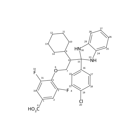 O=C(O)c1cc(F)c(OCC(C2CCCCC2)C2(c3ccc(Cl)cc3)Nc3ccccc3N2)c(F)c1